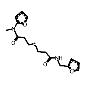 CN(C(=O)CCSCCC(=O)NCc1ccco1)c1ccco1